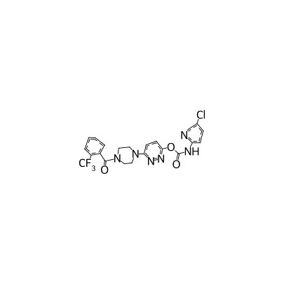 O=C(Nc1ccc(Cl)cn1)Oc1ccc(N2CCN(C(=O)c3ccccc3C(F)(F)F)CC2)nn1